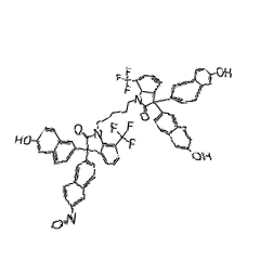 O=Nc1ccc2cc(C3(c4ccc5cc(O)ccc5c4)C(=O)N(CCCCCN4C(=O)C(c5ccc6cc(O)ccc6c5)(c5ccc6cc(O)ccc6c5)C5C=CC=C(C(F)(F)F)C54)c4c(C(F)(F)F)cccc43)ccc2c1